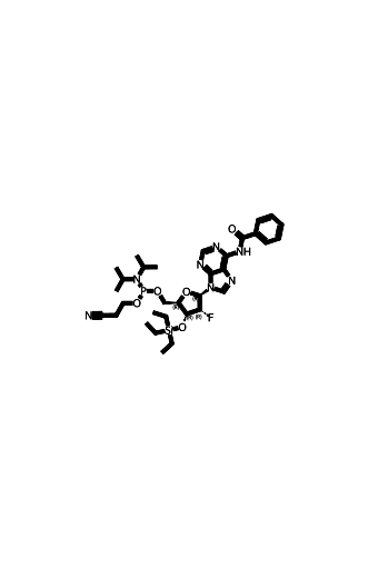 CC[Si](CC)(CC)O[C@H]1[C@@H](F)[C@H](n2cnc3c(NC(=O)c4ccccc4)ncnc32)O[C@@H]1COP(OCCC#N)N(C(C)C)C(C)C